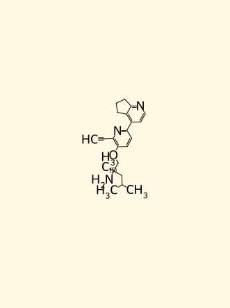 C#Cc1nc(-c2ccnc3c2CCC3)ccc1OC[C@@](C)(N)CC(C)C